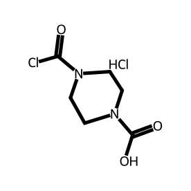 Cl.O=C(O)N1CCN(C(=O)Cl)CC1